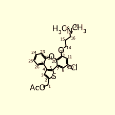 CC(=O)OCc1cc2c(s1)-c1cc(Cl)cc(OCCCN(C)C)c1Oc1ccccc1-2